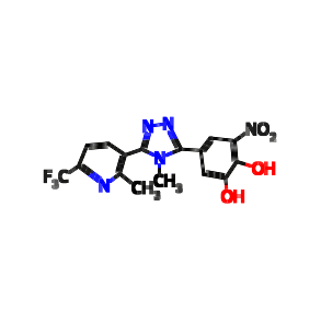 Cc1nc(C(F)(F)F)ccc1-c1nnc(-c2cc(O)c(O)c([N+](=O)[O-])c2)n1C